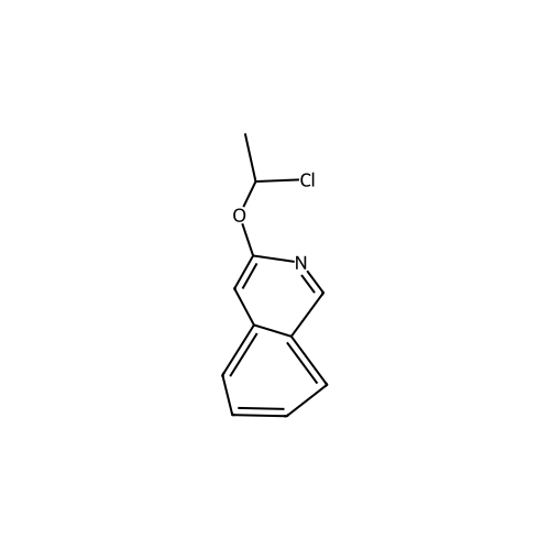 CC(Cl)Oc1cc2ccccc2cn1